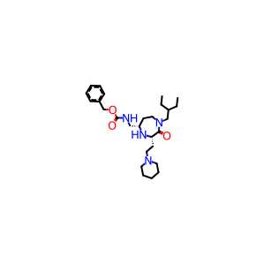 CCC(CC)CN1CC[C@@H](CNC(=O)OCc2ccccc2)N[C@@H](CCN2CCCCC2)C1=O